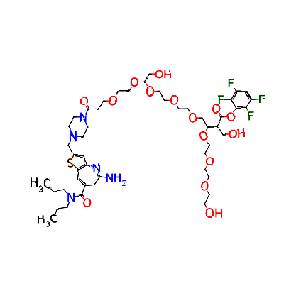 CCCN(CCC)C(=O)C1=Cc2sc(CN3CCN(C(=O)CCOCCOC(CO)OCCOCCOCC(OCCOCCOCCO)C(CO)C(=O)Oc4c(F)c(F)cc(F)c4F)CC3)cc2N=C(N)C1